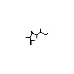 O=C1OC(C(O)CO)C(=O)C1O